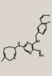 C/C1=C/CCC(Nc2cnc(N=N)c(NCc3ccc(C)c(/C=C\I)c3)n2)/C=N\C1